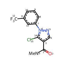 CNC(=O)c1cnn(-c2cccc(C(F)(F)F)c2)c1Cl